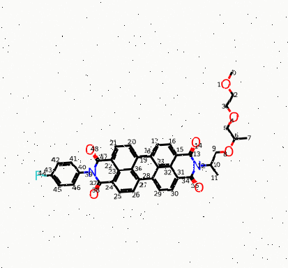 COCCOCC(C)OCC(C)N1C(=O)c2ccc3c4ccc5c6c(ccc(c7ccc(c2c37)C1=O)c64)C(=O)N(c1ccc(F)cc1)C5=O